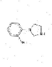 CC(C)(C)c1ccccc1N1CCNC1